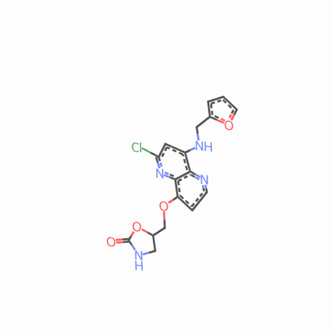 O=C1NCC(COc2ccnc3c(NCc4ccco4)cc(Cl)nc23)O1